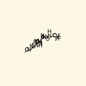 Cc1cn2c(-c3cnn(CC(=O)NCC4=CC(C(F)(F)F)CC=C4)c3)cnc2c(NC2CC(CN3CCCC(C)C3)=NS2)n1